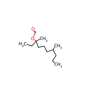 CCCC(C)CCCC(C)(CC)OC=O